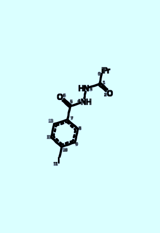 CC(C)C(=O)NNC(=O)c1ccc(I)cc1